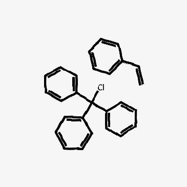 C=Cc1ccccc1.ClC(c1ccccc1)(c1ccccc1)c1ccccc1